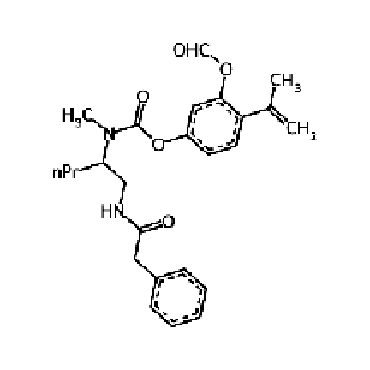 C=C(C)c1ccc(OC(=O)N(C)C(CCC)CNC(=O)Cc2ccccc2)cc1OC=O